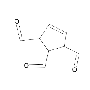 O=CC1C=CC(C=O)C1C=O